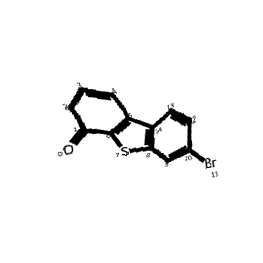 O=C1CC=Cc2c1sc1cc(Br)ccc21